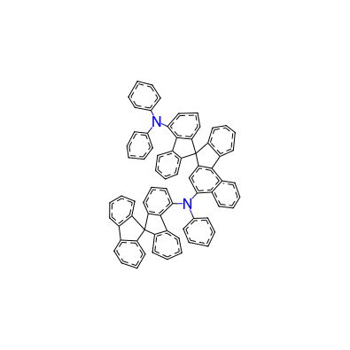 c1ccc(N(c2ccccc2)c2cccc3c2-c2ccccc2C32c3ccccc3-c3c2cc(N(c2ccccc2)c2cccc4c2-c2ccccc2C42c4ccccc4-c4ccccc42)c2ccccc32)cc1